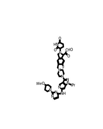 COC1CCN(c2nccc(Nc3cc4c(cn3)c(N3CCN(Cc5cc6c(cc5F)C(C(=O)C=O)N(C5CCC(=O)NC5=O)C6)CC3)nn4C(C)C)n2)CC1